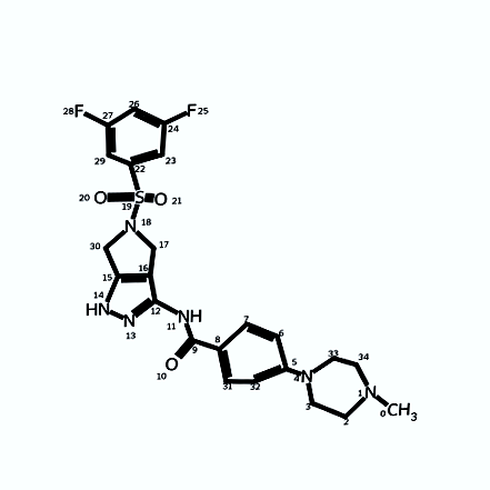 CN1CCN(c2ccc(C(=O)Nc3n[nH]c4c3CN(S(=O)(=O)c3cc(F)cc(F)c3)C4)cc2)CC1